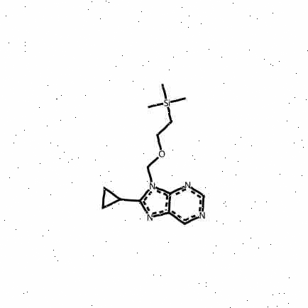 C[Si](C)(C)CCOCn1c(C2CC2)nc2cncnc21